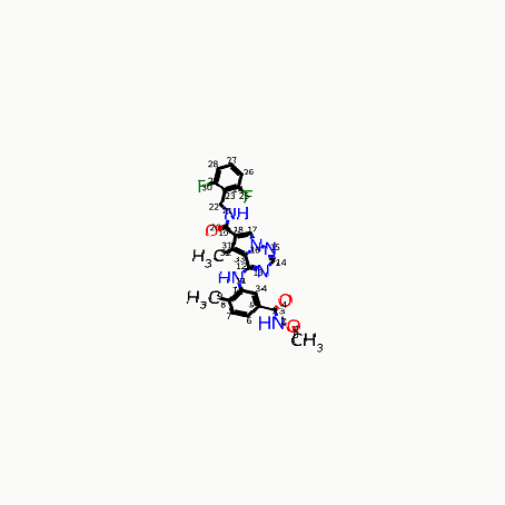 CONC(=O)c1ccc(C)c(Nc2ncnn3cc(C(=O)NCc4c(F)cccc4F)c(C)c23)c1